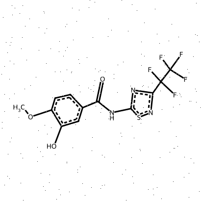 COc1ccc(C(=O)Nc2nc(C(F)(F)C(F)(F)F)ns2)cc1O